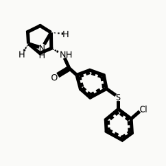 O=C(N[C@@H]1C[C@H]2CC[C@@H]1N2)c1ccc(Sc2ccccc2Cl)cc1